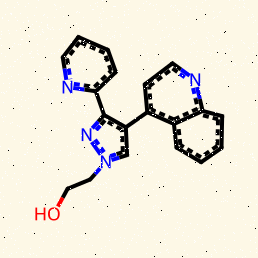 OCCn1cc(-c2ccnc3ccccc23)c(-c2ccccn2)n1